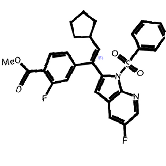 COC(=O)c1ccc(/C(=C\C2CCCC2)c2cc3cc(F)cnc3n2S(=O)(=O)c2ccccc2)cc1F